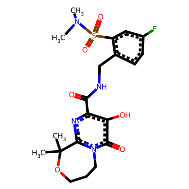 CN(C)S(=O)(=O)c1cc(F)ccc1CNC(=O)c1nc2n(c(=O)c1O)CCCOC2(C)C